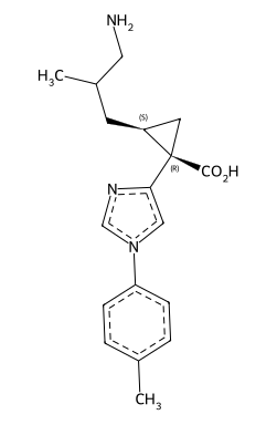 Cc1ccc(-n2cnc([C@@]3(C(=O)O)C[C@@H]3CC(C)CN)c2)cc1